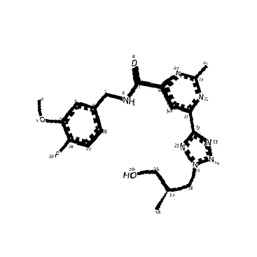 COc1cc(CNC(=O)c2cc(-c3nnn(C[C@@H](C)CO)n3)nc(C)n2)ccc1F